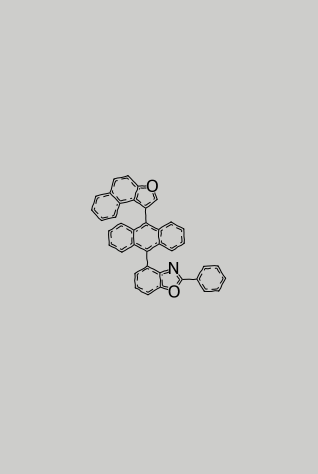 c1ccc(-c2nc3c(-c4c5ccccc5c(-c5coc6ccc7ccccc7c56)c5ccccc45)cccc3o2)cc1